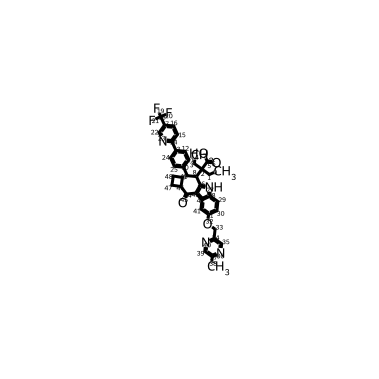 CCC(CC)(C(=O)O)C(Cc1ccc(-c2ccc(C(F)(F)F)cn2)cc1)c1[nH]c2ccc(OCc3cnc(C)cn3)cc2c1C(=O)C1CCC1